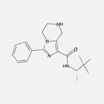 C[C@H](NC(=O)c1nc(-c2ccccc2)n2c1CNCC2)C(C)(C)C